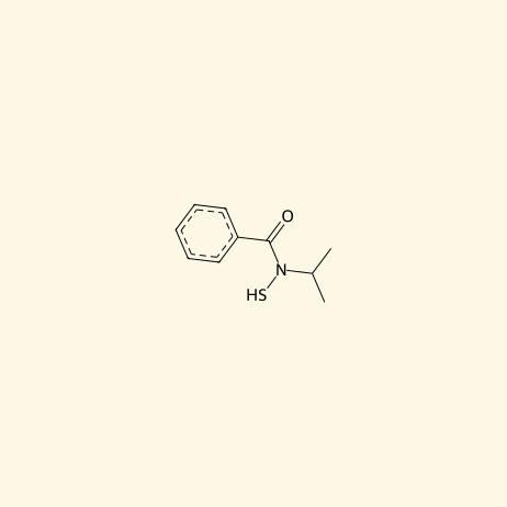 CC(C)N(S)C(=O)c1ccccc1